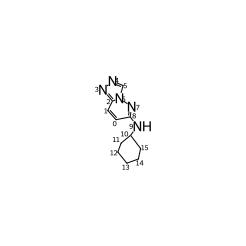 c1cc2nncn2nc1NC1CCCCC1